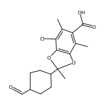 Cc1c(Cl)c2c(c(C)c1C(=O)O)OC(C)(C1CCC(C=O)CC1)O2